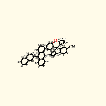 N#Cc1ccc2c(c1)C1(c3ccccc3Oc3ccccc31)c1cc(-c3c4ccccc4c(-c4ccc5ccccc5c4)c4ccccc34)ccc1-2